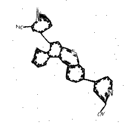 N#Cc1cc(-c2ccc3c(c2)sc2cc(-c4ccnc(C#N)c4)c4ccccc4c23)ccn1